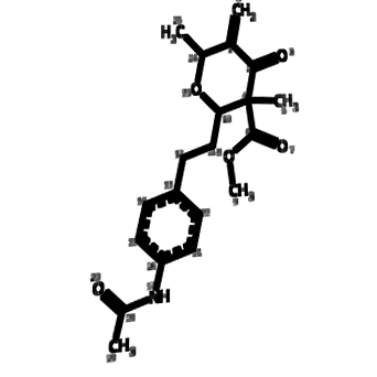 C=C1C(=O)C(C)(C(=O)OC)C(CCc2ccc(NC(C)=O)cc2)OC1C